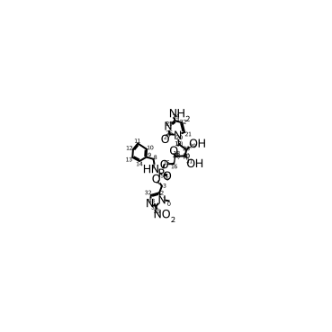 Cn1c(COP(=O)(NCc2ccccc2)OC[C@H]2O[C@@H](n3ccc(N)nc3=O)C(O)[C@H]2O)cnc1[N+](=O)[O-]